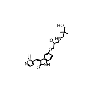 CC(C)(CO)CNCC(O)COc1ccc2c(c1)C(=Cc1ccn[nH]1)C(=O)N2